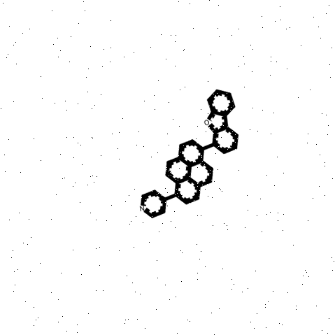 c1ccc2c(c1)oc1c(-c3ccc4ccc5c(-c6ccncc6)ccc6ccc3c4c65)cccc12